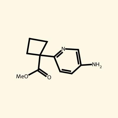 COC(=O)C1(c2ccc(N)cn2)CCC1